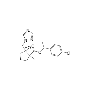 CC(OC(=O)C1(C)CCCC1(O)Cn1cncn1)c1ccc(Cl)cc1